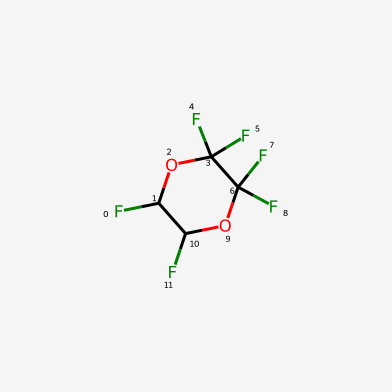 FC1OC(F)(F)C(F)(F)OC1F